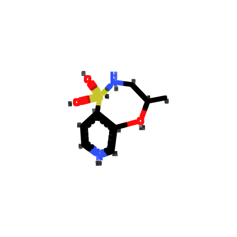 CC1CNS(=O)(=O)c2ccncc2O1